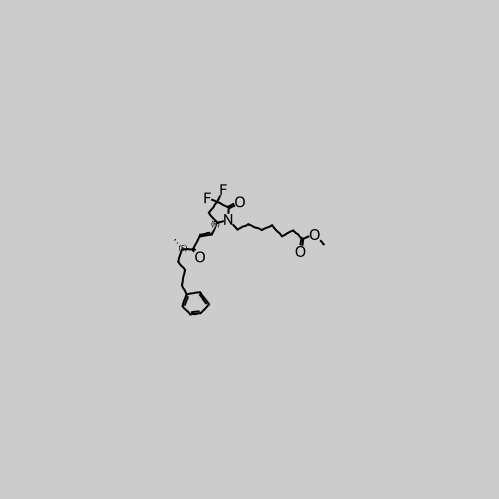 COC(=O)CCCCCCN1C(=O)C(F)(F)C[C@@H]1C=CC(=O)[C@@H](C)CCCc1ccccc1